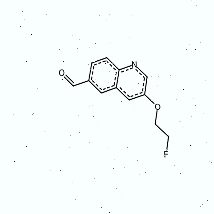 O=Cc1ccc2ncc(OCCF)cc2c1